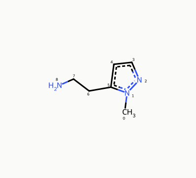 Cn1nccc1CCN